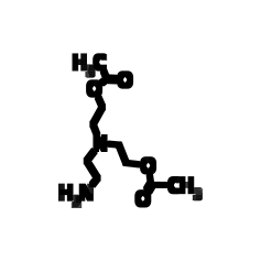 CC(=O)OCCN(CCN)CCOC(C)=O